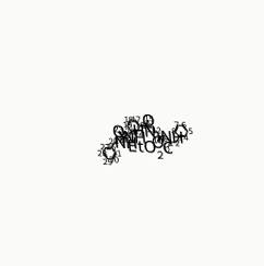 CCOC(=O)C(Cc1ccccc1)NC(=O)CNC(=O)c1cccc(NC(=O)NCc2ccccc2)c1